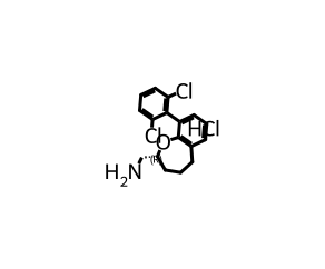 Cl.NC[C@H]1CCCc2cccc(-c3c(Cl)cccc3Cl)c2O1